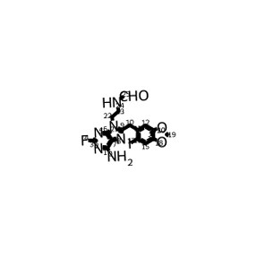 Nc1nc(F)nc2c1nc(Cc1cc3c(cc1I)OCO3)n2CCNC=O